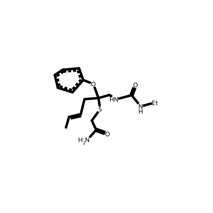 CC=CCC(CNC(=O)NCC)(Oc1ccccc1)SCC(N)=O